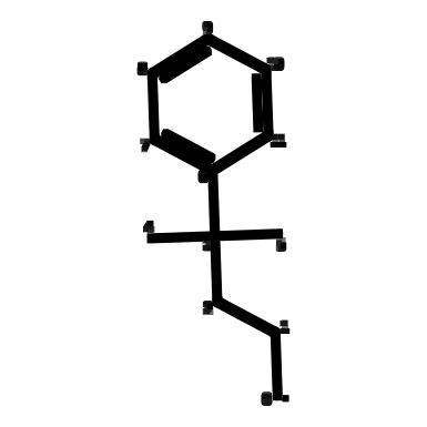 [CH2]CCC(C)(C)c1ccccc1